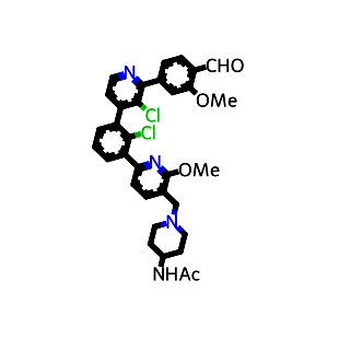 COc1cc(-c2nccc(-c3cccc(-c4ccc(CN5CCC(NC(C)=O)CC5)c(OC)n4)c3Cl)c2Cl)ccc1C=O